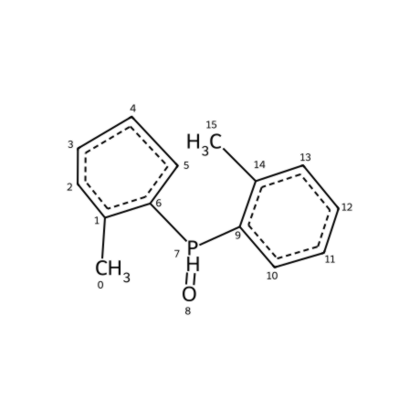 Cc1ccccc1[PH](=O)c1ccccc1C